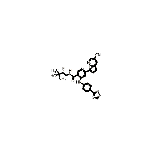 CC(C)(O)[C@H](F)CNC(=O)c1cnc(-c2ccc3cc(C#N)cnn23)cc1Nc1ccc(-c2nncs2)cc1